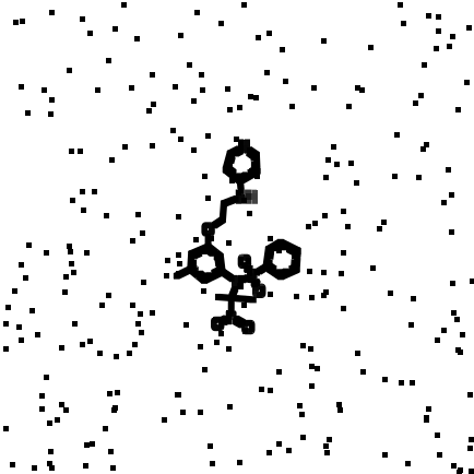 Cc1cc(OCCNc2ccncc2)cc(N(C(C)(C)P(=O)=O)S(=O)(=O)c2ccccc2)c1